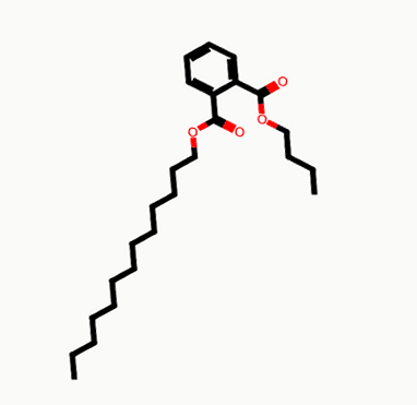 CCCCCCCCCCCCCOC(=O)c1ccccc1C(=O)OCCCC